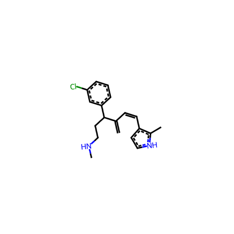 C=C(/C=C\c1cc[nH]c1C)C(CCNC)c1cccc(Cl)c1